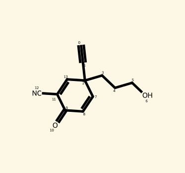 C#CC1(CCCO)C=CC(=O)C(C#N)=C1